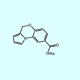 COC(=O)c1ccc2c(c1)-n1cccc1CO2